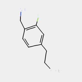 CCOC(=O)CCc1ccc(CN)c(F)c1